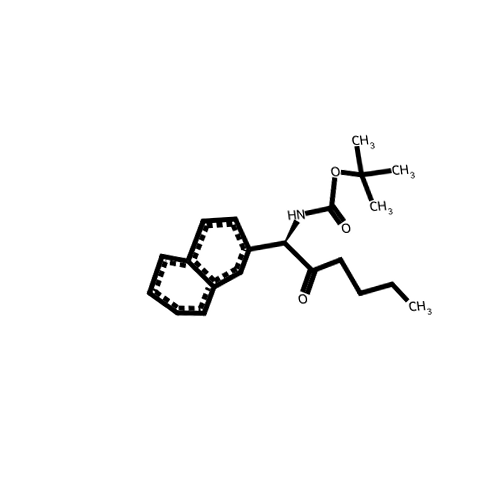 CCCCC(=O)[C@H](NC(=O)OC(C)(C)C)c1ccc2ccccc2c1